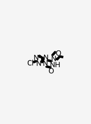 CC1CN(C2NC(=O)Cn3c2nc2cnc(Cl)nc23)CCO1